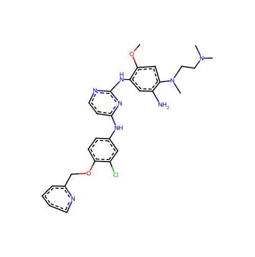 COc1cc(N(C)CCN(C)C)c(N)cc1Nc1nccc(Nc2ccc(OCc3ccccn3)c(Cl)c2)n1